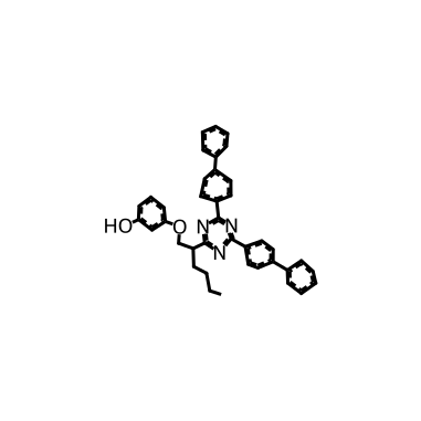 CCCCC(COc1cccc(O)c1)c1nc(-c2ccc(-c3ccccc3)cc2)nc(-c2ccc(-c3ccccc3)cc2)n1